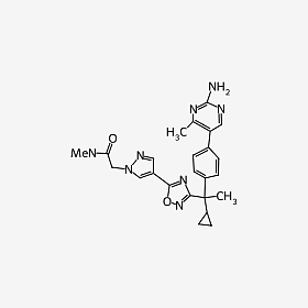 CNC(=O)Cn1cc(-c2nc(C(C)(c3ccc(-c4cnc(N)nc4C)cc3)C3CC3)no2)cn1